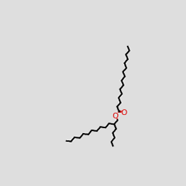 CCCCCCCCCCCCCCCC(=O)OCC(CCCCC)CCCCCCCCCCC